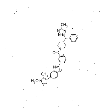 Cc1nnn(C(c2ccccc2)C2CCN(C(=O)c3cc(-c4nc5cc(-c6cnn(C)c6C)ccc5o4)ccn3)CC2)n1